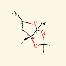 CCC(C)[C@@H]1C[C@H]2OC(C)(C)O[C@H]2O1